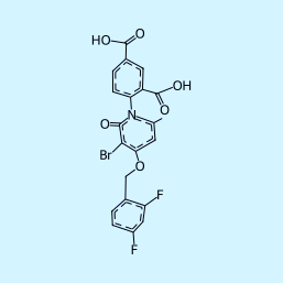 Cc1cc(OCc2ccc(F)cc2F)c(Br)c(=O)n1-c1ccc(C(=O)O)cc1C(=O)O